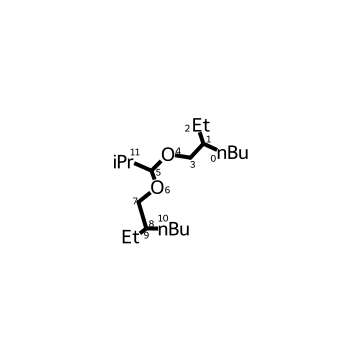 CCCCC(CC)COC(OCC(CC)CCCC)C(C)C